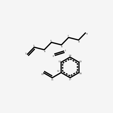 C=C.C=CCCCCCC.C=Cc1ccccc1